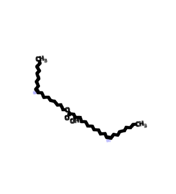 CCCCCCCC/C=C\CCCCCCCCCC(O)CC(=O)OCCCCCCCC/C=C\CCCCCCCC